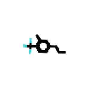 CCCc1ccc(C(F)(F)F)c(C)c1